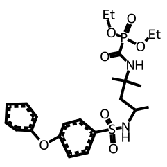 CCOP(=O)(OCC)C(=O)NC(C)(C)CC(C)NS(=O)(=O)c1ccc(Oc2ccccc2)cc1